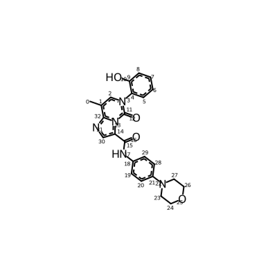 Cc1cn(-c2ccccc2O)c(=O)n2c(C(=O)Nc3ccc(N4CCOCC4)cc3)cnc12